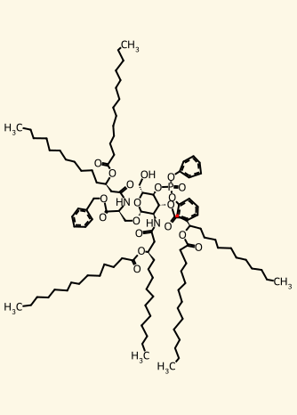 CCCCCCCCCCCCCC(=O)O[C@H](CCCCCCCCCCC)CC(=O)N[C@H]1[C@H](OC[C@H](NC(=O)C[C@@H](CCCCCCCCCCC)OC(=O)CCCCCCCCCCCCC)C(=O)OCc2ccccc2)O[C@H](CO)[C@@H](OP(=O)(Oc2ccccc2)Oc2ccccc2)[C@@H]1OC(=O)C[C@@H](CCCCCCCCCCC)OC(=O)CCCCCCCCCCCCC